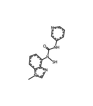 Cn1cnc2c(N(S)C(=O)Nc3cccnc3)cccc21